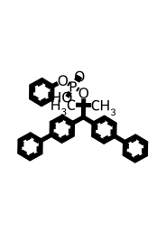 CC(C)(OP(=O)(O)Oc1ccccc1)C(c1ccc(-c2ccccc2)cc1)c1ccc(-c2ccccc2)cc1